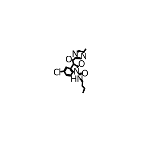 CCCCNC(=O)N1C(=O)C(C(=O)c2cnc(C)cn2)c2cc(Cl)ccc21